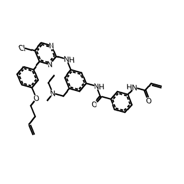 C=CCCOc1cccc(-c2nc(Nc3cc(CN(C)CC)cc(NC(=O)c4cccc(NC(=O)C=C)c4)c3)ncc2Cl)c1